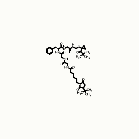 CC(C)(C)C(=O)C1(OCNC(=O)CNC(=O)[C@H](Cc2ccccc2)NC(=O)CNC(=O)CNC(=O)CCCCCN2C(=O)CC(C(C)(C)C)C2=O)CC1